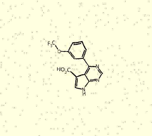 O=C(O)c1c[nH]c2ncnc(-c3cccc(OC(F)(F)F)c3)c12